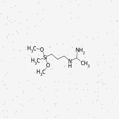 CO[Si](C)(CCCNC(C)N)OC